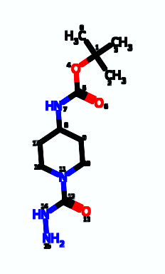 CC(C)(C)OC(=O)NC1CCN(C(=O)NN)CC1